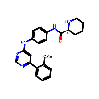 COc1ccccc1-c1cc(Nc2ccc(NC(=O)[C@@H]3CCCCN3)cc2)ncn1